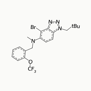 CN(Cc1ccccc1OC(F)(F)F)c1ccc2c(nnn2CC(C)(C)C)c1Br